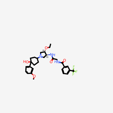 CCO[C@H]1CN(C2CCC(O)(c3cccc(OC)c3)CC2)C[C@@H]1NC(=O)CNC(=O)c1cccc(C(F)(F)F)c1